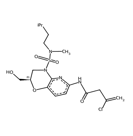 C=C(Cl)CC(=O)Nc1ccc2c(n1)N(S(=O)(=O)N(C)CCC(C)C)C[C@H](CO)O2